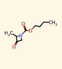 CCCCOC(=O)N1CC(=O)C1C